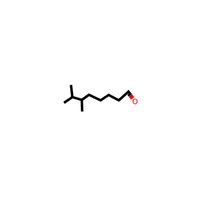 CC(C)C(C)CCCCC=O